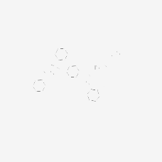 COc1ccc2c(c1)SC[C@@H](NC(=O)CC(C)(C)N)C(=O)N2Cc1ccc(-c2ccccc2S(=O)(=O)NC(=O)c2ccccc2)cc1